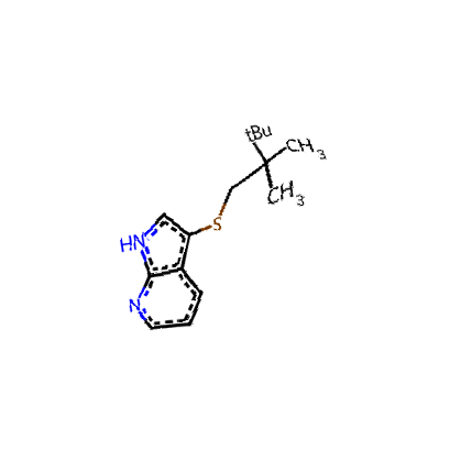 CC(C)(C)C(C)(C)CSc1c[nH]c2ncccc12